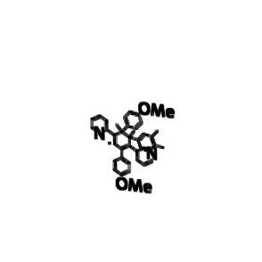 COc1ccc(C2=C(c3cccnc3)C(C)(c3ccc(C)c(C)c3)C(C)(c3ccc(OC)cc3)C(c3ccccn3)=[C]2)cc1